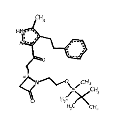 Cc1[nH]nc(C(=O)C[C@@H]2CC(=O)N2CCO[Si](C)(C)C(C)(C)C)c1CCc1ccccc1